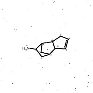 NC1CC2CC1C1CC=CC21